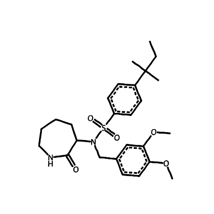 CCC(C)(C)c1ccc(S(=O)(=O)N(Cc2ccc(OC)c(OC)c2)C2CCCCNC2=O)cc1